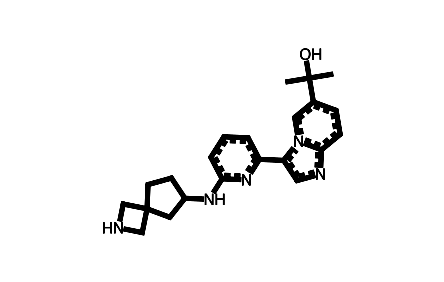 CC(C)(O)c1ccc2ncc(-c3cccc(NC4CCC5(CNC5)C4)n3)n2c1